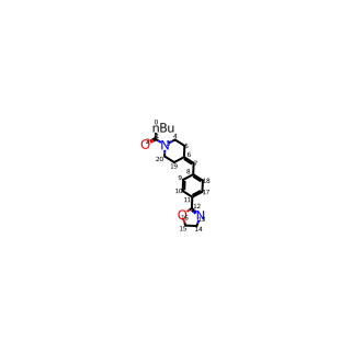 CCCCC(=O)N1CCC(=Cc2ccc(C3=NCCO3)cc2)CC1